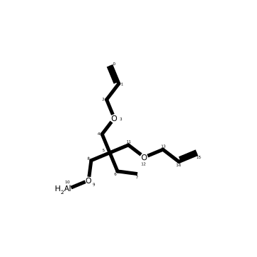 C=CCOCC(CC)(C[O][AlH2])COCC=C